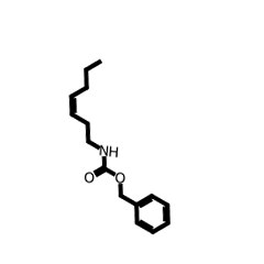 CCC/C=C\CCNC(=O)OCc1ccccc1